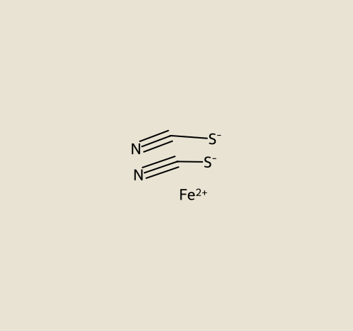 N#C[S-].N#C[S-].[Fe+2]